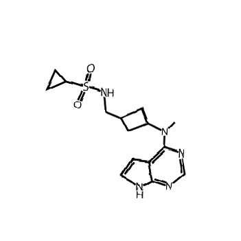 CN(c1ncnc2[nH]ccc12)C1CC(CNS(=O)(=O)C2CC2)C1